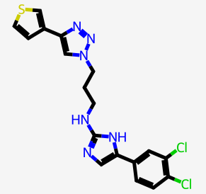 Clc1ccc(-c2cnc(NCCCn3cc(-c4ccsc4)nn3)[nH]2)cc1Cl